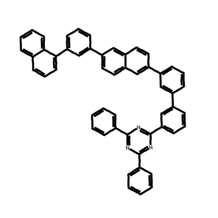 c1ccc(-c2nc(-c3ccccc3)nc(-c3cccc(-c4cccc(-c5ccc6cc(-c7cccc(-c8cccc9ccccc89)c7)ccc6c5)c4)c3)n2)cc1